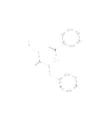 O=C(O)CCC(=O)C(Cc1ccccc1)NC(=O)c1ccccc1